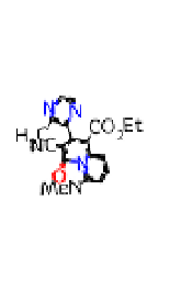 CCOC(=O)c1c(-c2nccnc2C)c(C#N)c(=O)n2c(NC)cccc12